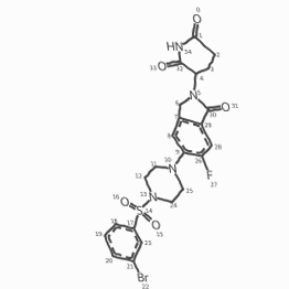 O=C1CCC(N2Cc3cc(N4CCN(S(=O)(=O)c5cccc(Br)c5)CC4)c(F)cc3C2=O)C(=O)N1